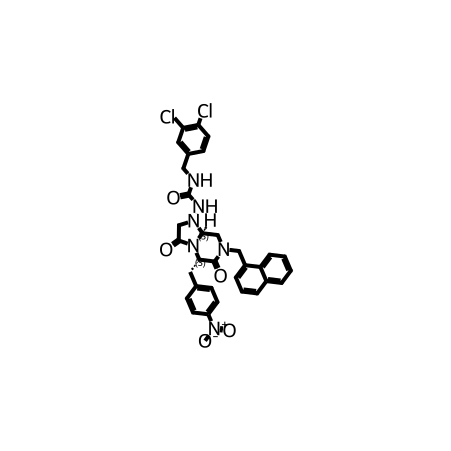 O=C(NCc1ccc(Cl)c(Cl)c1)NN1CC(=O)N2[C@@H]1CN(Cc1cccc3ccccc13)C(=O)[C@@H]2Cc1ccc([N+](=O)[O-])cc1